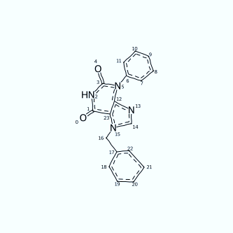 O=c1[nH]c(=O)n(-c2ccccc2)c2ncn(Cc3ccccc3)c12